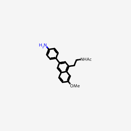 COc1ccc2cc(-c3ccc(N)cc3)cc(CCNC(C)=O)c2c1